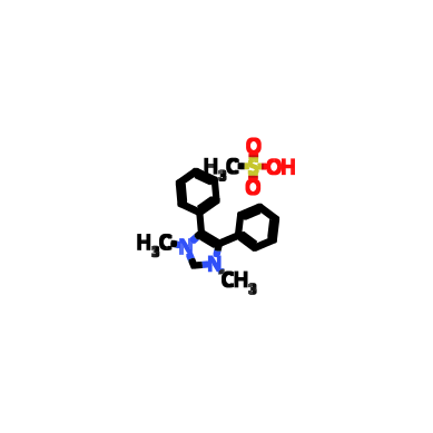 CN1CN(C)C(c2ccccc2)=C1c1ccccc1.CS(=O)(=O)O